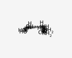 N=C(NCCCCCCCCCCCNC[C@H](O)c1ccc(O)c(CO)c1)NC(=O)c1nc(Cl)c(N)nc1N